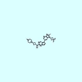 Cc1nc2ncc(-c3ccn4nc(N[C@H]5C[C@H](N6CCN(C)CC6)C5)ncc34)cc2n1C1CC(F)(F)C1